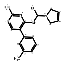 CCC(Nc1nc(N)ncc1-c1cccc(C)c1)N1CC=CC1